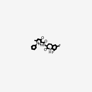 Cc1cc(=O)c(C(=O)NC2CCc3cc(F)cc(F)c3NC2=O)nn1-c1ccccc1